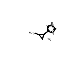 Cl.O=C(O)C1CC1c1c[nH]cn1